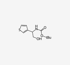 CC(C)(C)OC(=O)NC(CO)c1ccsc1